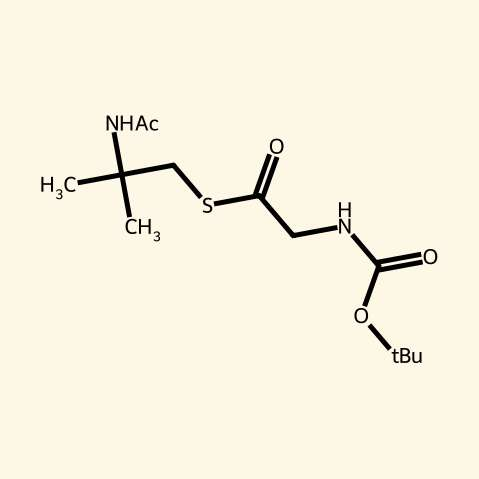 CC(=O)NC(C)(C)CSC(=O)CNC(=O)OC(C)(C)C